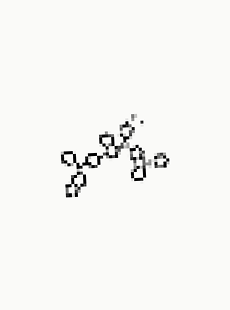 Cc1ccc(N(c2ccc3c(c2)c2ccccc2n3-c2ccccc2)c2ccc(-c3ccc(N(c4ccccc4)c4ccc5ccccc5c4)cc3)c3ccccc23)cc1